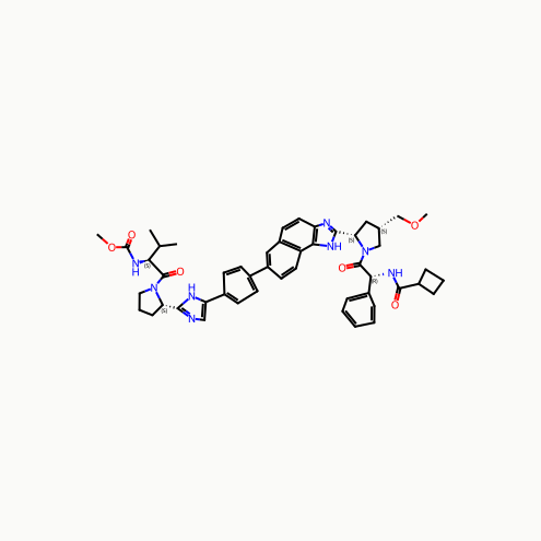 COC[C@H]1C[C@@H](c2nc3ccc4cc(-c5ccc(-c6cnc([C@@H]7CCCN7C(=O)[C@@H](NC(=O)OC)C(C)C)[nH]6)cc5)ccc4c3[nH]2)N(C(=O)[C@H](NC(=O)C2CCC2)c2ccccc2)C1